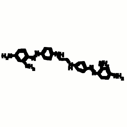 Nc1ccc(/N=N/c2ccc(NCCNc3ccc(/N=N/c4ccc(N)cc4N)cc3)cc2)c(N)c1